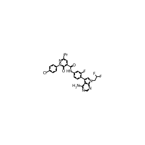 CC(C)c1cc(C(=O)Nc2ccc(-c3cn(CC(F)F)c4ncnc(N)c34)c(F)c2)c(=O)n(-c2ccc(Cl)cc2)n1